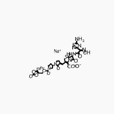 CCCc1oc(=O)oc1COC(=O)N1CC[C@@H](N2CC/C(=C\C3=C(C(=O)[O-])N4C(=O)[C@@H](NC(=O)/C(=N\O)c5nsc(N)n5)[C@H]4SC3)C2=O)C1.[Na+]